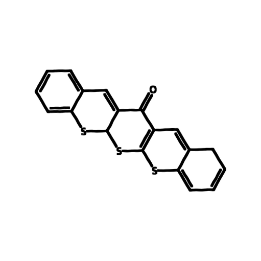 O=C1C2=Cc3ccccc3SC2SC2=C1C=C1CC=CC=C1S2